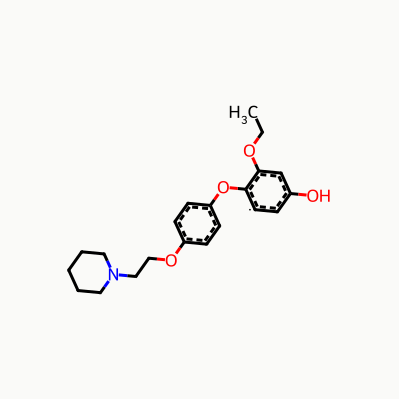 CCOc1cc(O)c[c]c1Oc1ccc(OCCN2CCCCC2)cc1